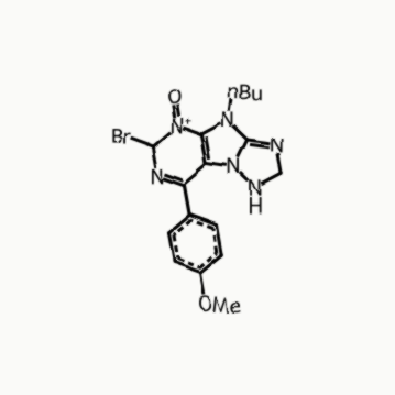 CCCCN1C2=NCNN2C2=C1[N+](=O)C(Br)N=C2c1ccc(OC)cc1